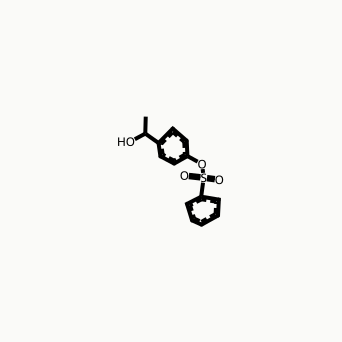 CC(O)c1ccc(OS(=O)(=O)c2ccccc2)cc1